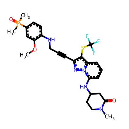 COc1cc(P(C)(C)=O)ccc1NCC#Cc1nn2c(NC3CCN(C)C(=O)C3)cccc2c1SC(F)(F)F